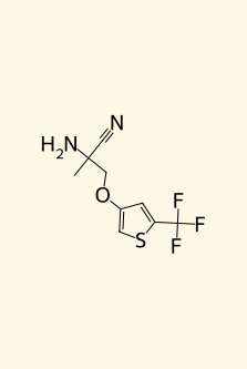 CC(N)(C#N)COc1csc(C(F)(F)F)c1